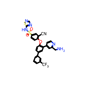 N#Cc1cc(S(=O)(=O)Nc2ncns2)ccc1Oc1ccc(-c2cccc(C(F)(F)F)c2)cc1-c1ccnc(CN)c1